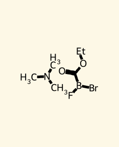 CCOC(=O)B(F)Br.CN(C)C